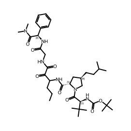 CCCC(NC(=O)[C@@H]1C[C@@H](CCC(C)C)CN1C(=O)[C@@H](NC(=O)OC(C)(C)C)C(C)(C)C)C(=O)C(=O)NCC(=O)N[C@@H](C(=O)N(C)C)c1ccccc1